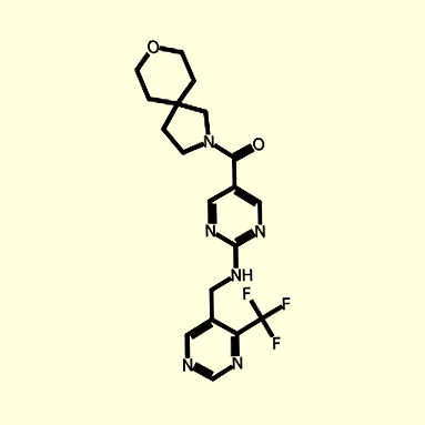 O=C(c1cnc(NCc2cncnc2C(F)(F)F)nc1)N1CCC2(CCOCC2)C1